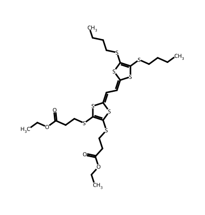 CCCCSC1=C(SCCCC)SC(=CC=C2SC(SCCC(=O)OCC)=C(SCCC(=O)OCC)S2)S1